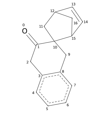 O=C1Cc2ccccc2CC12CC1C=CC2C1